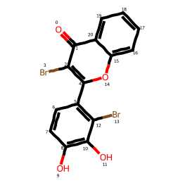 O=c1c(Br)c(-c2ccc(O)c(O)c2Br)oc2ccccc12